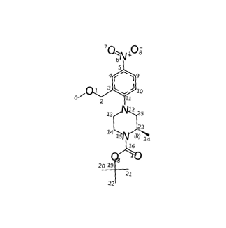 COCc1cc([N+](=O)[O-])ccc1N1CCN(C(=O)OC(C)(C)C)[C@H](C)C1